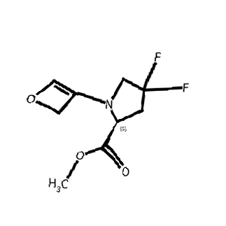 COC(=O)[C@@H]1CC(F)(F)CN1C1=COC1